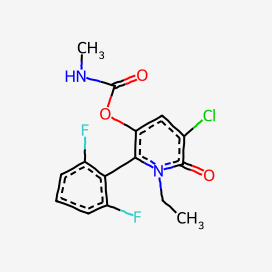 CCn1c(-c2c(F)cccc2F)c(OC(=O)NC)cc(Cl)c1=O